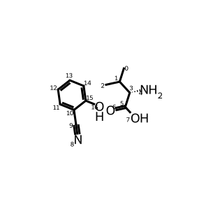 CC(C)[C@H](N)C(=O)O.N#Cc1ccccc1O